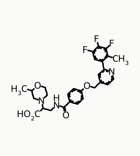 Cc1c(-c2cc(COc3ccc(C(=O)NCC(C(=O)O)N4CCOC(C)C4)cc3)ccn2)cc(F)c(F)c1F